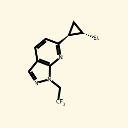 CC[C@H]1C[C@@H]1c1ccc2cnn(CC(F)(F)F)c2n1